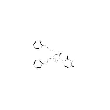 O=C1C(COCc2ccccc2)C(OCc2ccccc2)CC1n1ccc(=O)[nH]c1=O